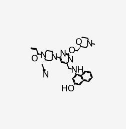 C=CC(=O)N1CCN(c2cc(CNc3cc(O)cc4ccccc34)nc(OC[C@@H]3CN(C)CCO3)n2)C[C@@H]1CC#N